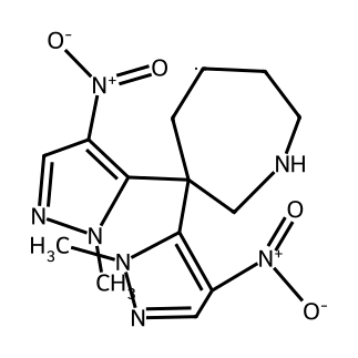 Cn1ncc([N+](=O)[O-])c1C1(c2c([N+](=O)[O-])cnn2C)C[CH]CCNC1